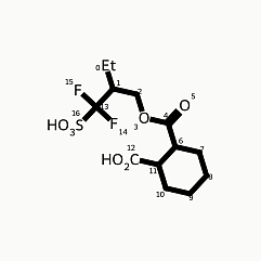 CCC(COC(=O)C1CCCCC1C(=O)O)C(F)(F)S(=O)(=O)O